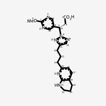 COc1ncc([C@H](CC(=O)O)n2ncc(CCCc3ccc4c(n3)NCCC4)n2)cn1